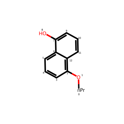 CCCOc1cccc2c(O)cccc12